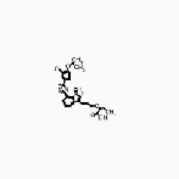 CCC(OCCCc1cn(C)c2c(-c3noc(-c4ccc(OC(C)C)c(Cl)c4)n3)cccc12)C(=O)O